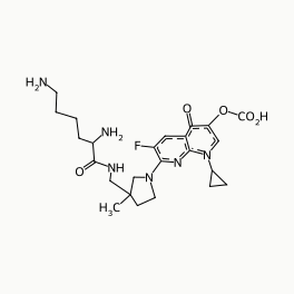 CC1(CNC(=O)C(N)CCCCN)CCN(c2nc3c(cc2F)c(=O)c(OC(=O)O)cn3C2CC2)C1